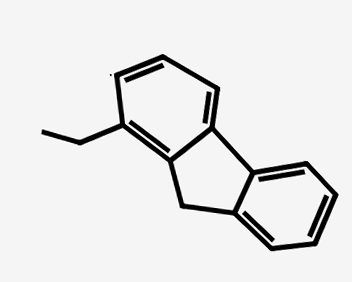 CCc1[c]ccc2c1Cc1ccccc1-2